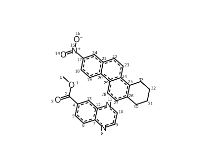 COC(=O)c1ccc2nccnc2c1.O=[N+]([O-])c1ccc2c(ccc3c4c(ccc32)CCCC4)c1